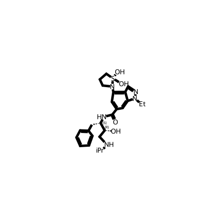 CCn1ncc2c(N3CCCS3(O)O)cc(C(=O)N[C@@H](Cc3ccccc3)[C@H](O)CNC(C)C)cc21